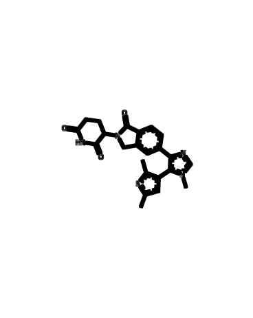 Cc1cc(-c2c(-c3ccc4c(c3)CN(C3CCC(=O)NC3=O)C4=O)ncn2C)c(C)s1